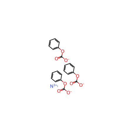 O=C([O-])Oc1ccccc1.O=C([O-])Oc1ccccc1.O=C([O-])Oc1ccccc1.[N+3]